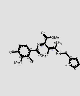 C=C(/N=C(C(=O)OC)\C(Cl)=C(/N)NCc1ccco1)c1ccc(Cl)c(OC)c1F